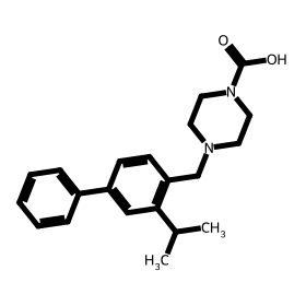 CC(C)c1cc(-c2ccccc2)ccc1CN1CCN(C(=O)O)CC1